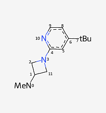 CNC1CN(c2cc(C(C)(C)C)ccn2)C1